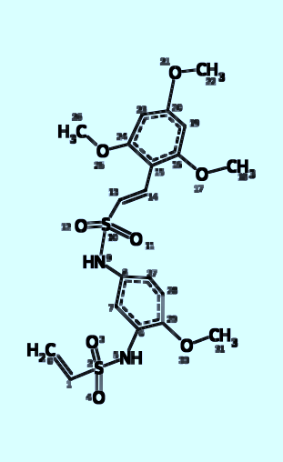 C=CS(=O)(=O)Nc1cc(NS(=O)(=O)C=Cc2c(OC)cc(OC)cc2OC)ccc1OC